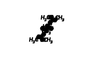 Cc1cccc(N(c2ccc(-c3ccc4c(-c5ccccc5C)c5cc(-c6ccc(N(c7cccc(C)c7)c7cccc(C)c7)cc6)ccc5c(-c5ccccc5C)c4c3)cc2)c2cccc(C)c2)c1